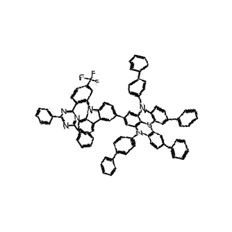 FC(F)(F)c1ccc(-c2nc(-c3ccccc3)nc(-c3ccccc3)n2)c(-n2c3ccccc3c3cc(-c4cc5c6c(c4)N(c4ccc(-c7ccccc7)cc4)c4ccc(-c7ccccc7)cc4B6c4cc(-c6ccccc6)ccc4N5c4ccc(-c5ccccc5)cc4)ccc32)c1